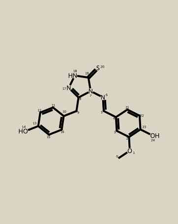 COc1cc(C=Nn2c(Cc3ccc(O)cc3)n[nH]c2=S)ccc1O